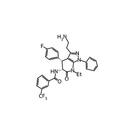 CCN1C(=O)[C@H](NC(=O)c2cccc(C(F)(F)F)c2)[C@H](c2ccc(F)cc2)c2c(CCN)nn(-c3ccccc3)c21